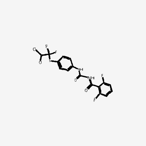 O=C(NC(=O)c1c(F)cccc1F)Nc1ccc(SC(F)(F)C(Cl)Cl)cc1